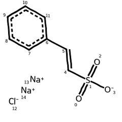 O=S(=O)([O-])C=Cc1ccccc1.[Cl-].[Na+].[Na+]